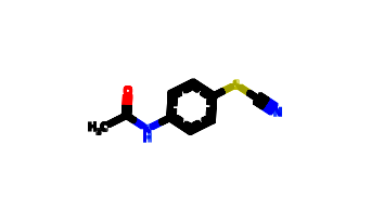 CC(=O)Nc1ccc(SC#N)cc1